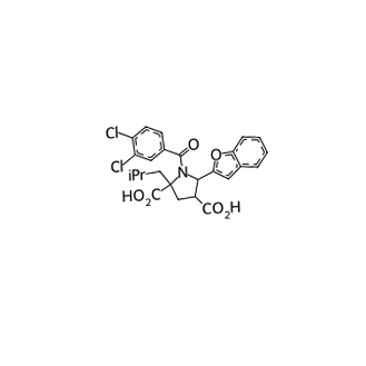 CC(C)CC1(C(=O)O)CC(C(=O)O)C(c2cc3ccccc3o2)N1C(=O)c1ccc(Cl)c(Cl)c1